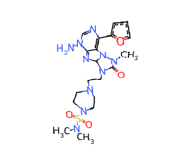 CN1C(=O)N(CCN2CCN(S(=O)(=O)N(C)C)CC2)C2N=C3C(=C(c4ccco4)N=CN3N)N21